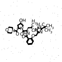 CC(C)C[C@@H](NC(=O)c1ccccc1OCc1noc(C(C)(C)C)n1)C(=O)N1C[C@@H](O)C[C@@H]1C(=O)N1CCOCC1